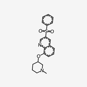 CN1CCCC(Oc2cccc3cc(S(=O)(=O)c4ccccc4)cnc23)C1